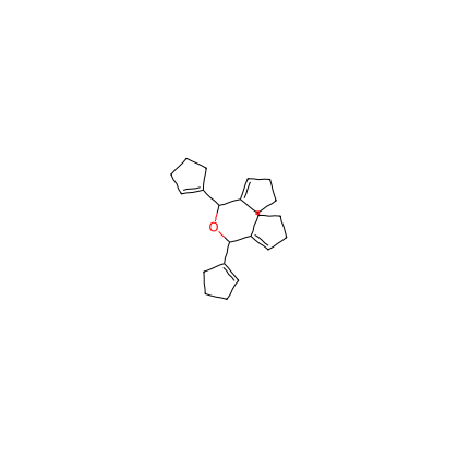 C1=C(C(OC(C2=CCCC2)C2=CCCC2)C2=CCCC2)CCC1